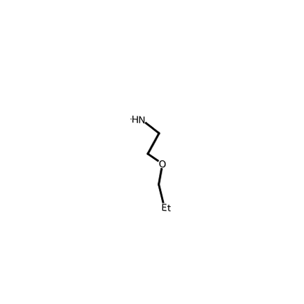 CCCOCC[NH]